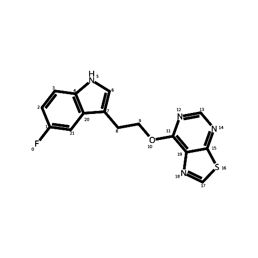 Fc1ccc2[nH]cc(CCOc3ncnc4scnc34)c2c1